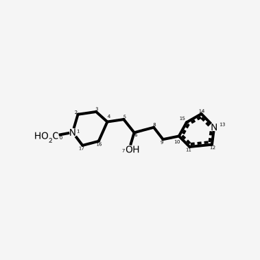 O=C(O)N1CCC(CC(O)CCc2ccncc2)CC1